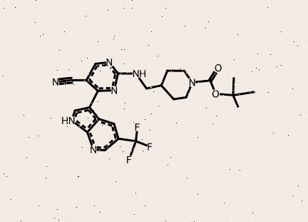 CC(C)(C)OC(=O)N1CCC(CNc2ncc(C#N)c(-c3c[nH]c4ncc(C(F)(F)F)cc34)n2)CC1